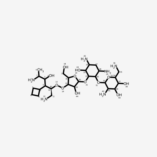 CC(N)C(O)C(C1CCC1)[C@H](CN)OOC1C(CO)OC(OC2C(O)C(N)CC(N)C2OC2OC(CN)C(O)C(O)C2N)C1O